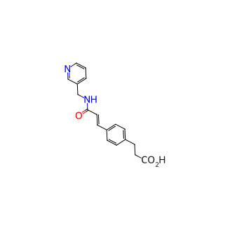 O=C(O)CCc1ccc(C=CC(=O)NCc2cccnc2)cc1